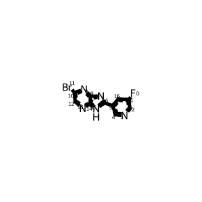 Fc1cncc(-c2nc3nc(Br)cnc3[nH]2)c1